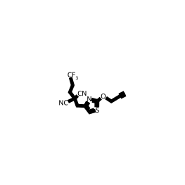 C#CCOc1nc(CC(C#N)(C#N)CCC(F)(F)F)cs1